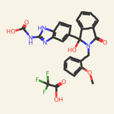 COc1ccccc1CN1C(=O)c2ccccc2C1(O)c1ccc2[nH]c(NC(=O)O)nc2c1.O=C(O)C(F)(F)F